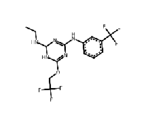 CCNC1N=C(Nc2cccc(C(F)(F)F)c2)N=C(OCC(F)(F)F)N1